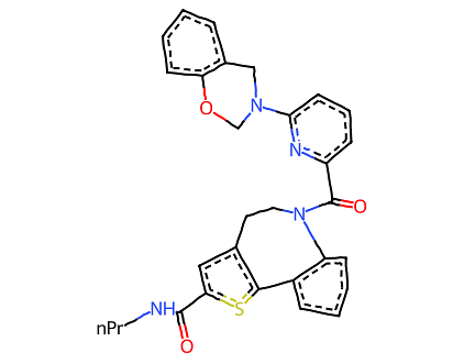 CCCNC(=O)c1cc2c(s1)-c1ccccc1N(C(=O)c1cccc(N3COc4ccccc4C3)n1)CC2